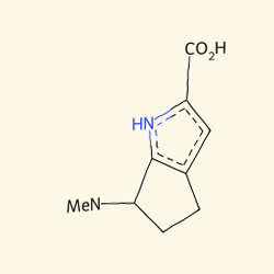 CNC1CCc2cc(C(=O)O)[nH]c21